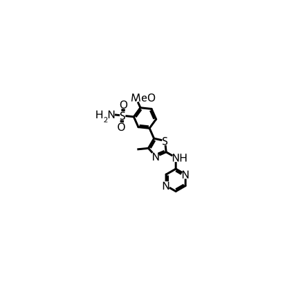 COc1ccc(-c2sc(Nc3cnccn3)nc2C)cc1S(N)(=O)=O